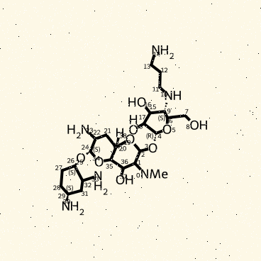 CNC1C(O[C@H]2OC(CO)[C@@H](NCCCN)C(O)C2O)O[C@H]2CC(N)[C@@H](O[C@H]3CC[C@H](N)CC3N)OC2C1O